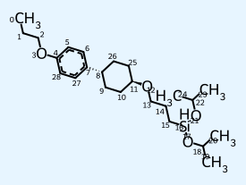 CCCOc1ccc([C@H]2CC[C@H](OCCC[SiH](OC(C)C)OC(C)C)CC2)cc1